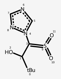 CC(C)(C)C(O)C(n1cncn1)=S(=O)=O